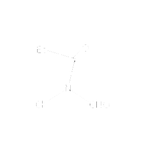 CCC(=O)N(Cl)C=O